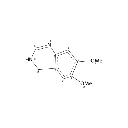 COc1cc2c(cc1OC)N=CNC2